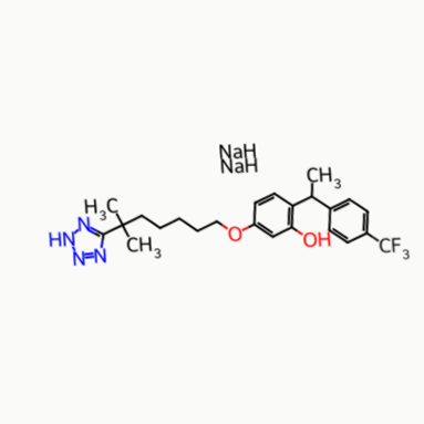 CC(c1ccc(C(F)(F)F)cc1)c1ccc(OCCCCCC(C)(C)c2nn[nH]n2)cc1O.[NaH].[NaH]